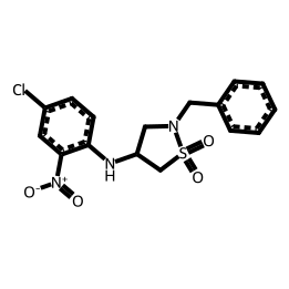 O=[N+]([O-])c1cc(Cl)ccc1NC1CN(Cc2ccccc2)S(=O)(=O)C1